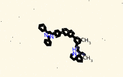 C\C=C/C(=C\C=C\c1cc(C)cc(-c2ccc3ccc(-c4ccc(-c5cc(-c6ccccc6)nc(-c6ccccc6)n5)cc4)cc3c2)c1)c1cccc2c1NCCC2